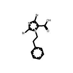 O=C(O)c1c(Br)nc(Br)n1CCc1ccccc1